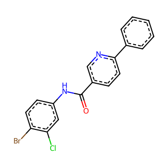 O=C(Nc1ccc(Br)c(Cl)c1)c1ccc(-c2ccccc2)nc1